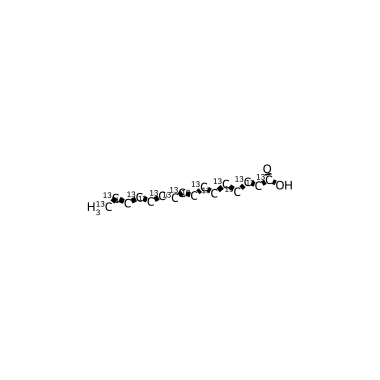 [13CH3][13CH2][13CH2][13CH2][13CH2][13CH2][13CH2][13CH2][13CH2][13CH2][13CH2][13CH2][13CH2][13CH2][13CH2][13C](=O)O